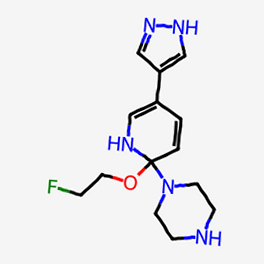 FCCOC1(N2CCNCC2)C=CC(c2cn[nH]c2)=CN1